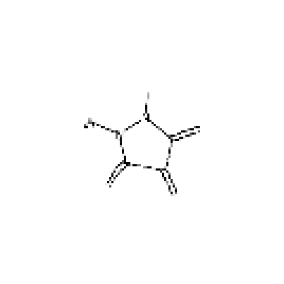 C=C1C(=C)N(C)N(C(C)C)C1=C